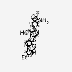 CC[C@@H]1C[C@H]2COc3c(Sc4cnc(N5CCC6(CC5)CO[C@@H](C)[C@H]6N)c(CO)n4)ccnc3N2C1